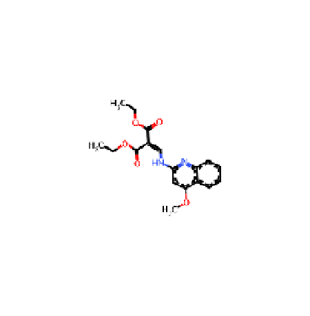 CCOC(=O)C(=CNc1cc(OC)c2ccccc2n1)C(=O)OCC